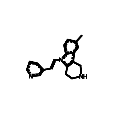 Cc1ccc2c(c1)c1c(n2/C=C/c2cccnc2)CCNC1